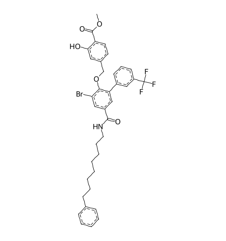 COC(=O)c1ccc(COc2c(Br)cc(C(=O)NCCCCCCCCc3ccccc3)cc2-c2cccc(C(F)(F)F)c2)cc1O